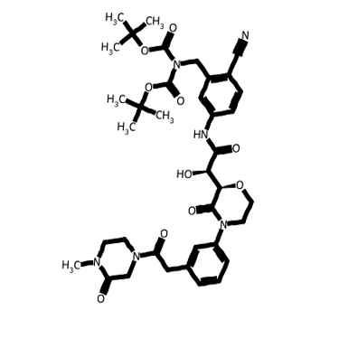 CN1CCN(C(=O)Cc2cccc(N3CCO[C@H]([C@@H](O)C(=O)Nc4ccc(C#N)c(CN(C(=O)OC(C)(C)C)C(=O)OC(C)(C)C)c4)C3=O)c2)CC1=O